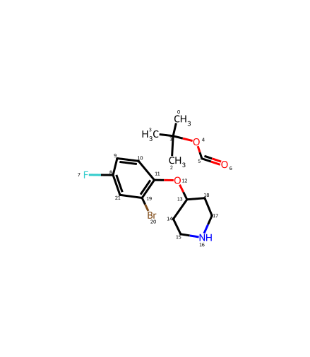 CC(C)(C)OC=O.Fc1ccc(OC2CCNCC2)c(Br)c1